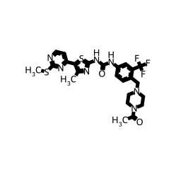 CSc1nccc(-c2sc(NC(=O)Nc3ccc(CN4CCN(C(C)=O)CC4)c(C(F)(F)F)c3)nc2C)n1